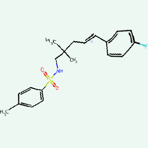 Cc1ccc(S(=O)(=O)NCC(C)(C)C/C=C/c2ccc(F)cc2)cc1